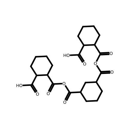 O=C(OC(=O)C1CCCCC1C(=O)O)C1CCCC(C(=O)OC(=O)C2CCCCC2C(=O)O)C1